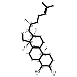 CC(C)=CCC[C@@H](C)[C@H]1CC[C@H]2C3=C(CC[C@]12C)[C@@]1(C)CCC(O)C(O)C1CC3